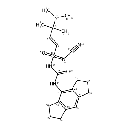 CN(C)C(C)(C)/C=C/S(=O)(=NC#N)NC(=O)Nc1c2c(cc3c1CCC3)CCC2